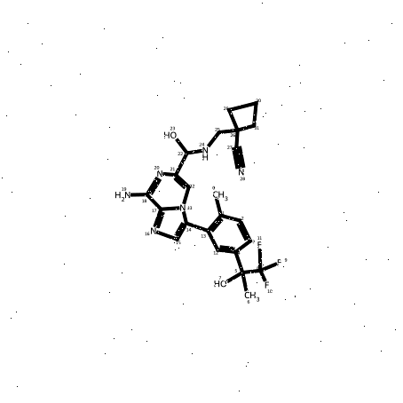 Cc1ccc(C(C)(O)C(F)(F)F)cc1-c1cnc2c(N)nc(C(O)NCC3(C#N)CCC3)cn12